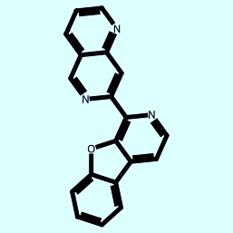 c1cnc2cc(-c3nccc4c3oc3ccccc34)ncc2c1